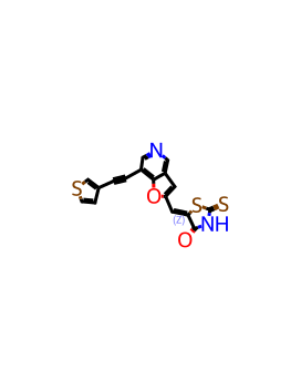 O=C1NC(=S)S/C1=C\c1cc2cncc(C#Cc3ccsc3)c2o1